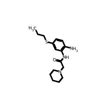 CCCSc1ccc(N)c(NC(=O)CN2CCCCC2)c1